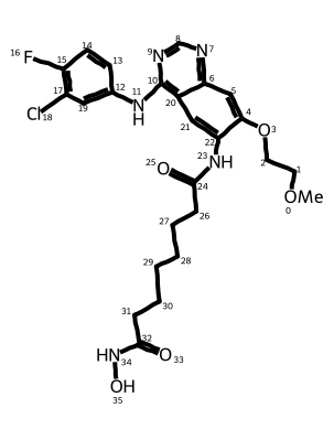 COCCOc1cc2ncnc(Nc3ccc(F)c(Cl)c3)c2cc1NC(=O)CCCCCCC(=O)NO